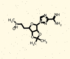 C[PH](=O)CCC1OC(n2cnc(C(=N)N)n2)C2OC(C)(C)OC12